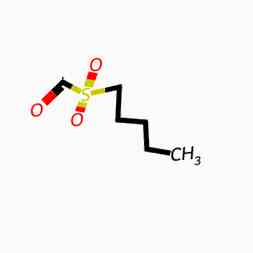 CCCCCS(=O)(=O)[C]=O